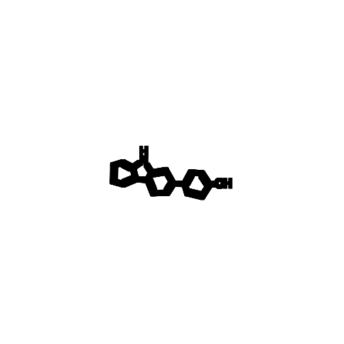 Oc1ccc(-c2ccc3c(c2)[nH]c2ccccc23)cc1